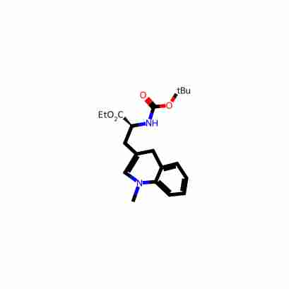 CCOC(=O)[C@H](CC1=CN(C)c2ccccc2C1)NC(=O)OC(C)(C)C